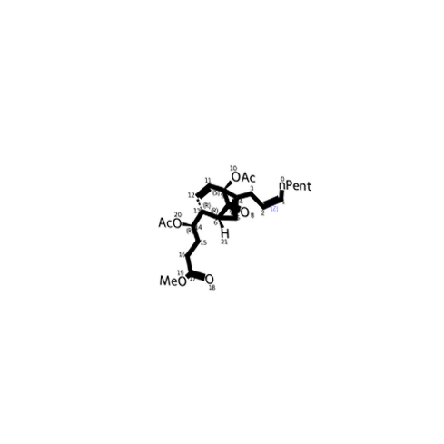 CCCCC/C=C\CC1=C[C@H]2C(=O)[C@]1(OC(C)=O)C=C[C@H]2[C@@H](CCC(=O)OC)OC(C)=O